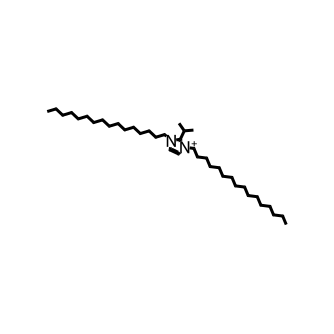 CCCCCCCCCCCCCCCCn1cc[n+](CCCCCCCCCCCCCCCC)c1C(C)C